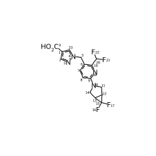 O=C(O)c1cnn(Cc2ccc(N3CC4C(C3)C4(F)F)nc2C(F)F)c1